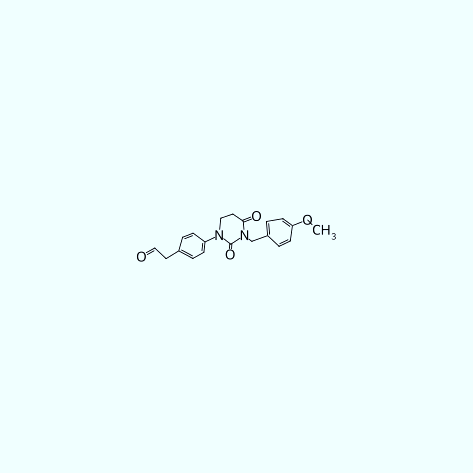 COc1ccc(CN2C(=O)CCN(c3ccc(CC=O)cc3)C2=O)cc1